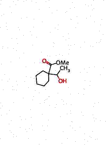 COC(=O)C1(C(C)O)CCCCC1